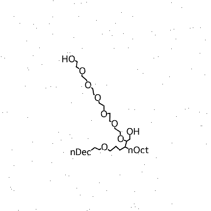 CCCCCCCCCCCCOCCCC(CCCCCCCC)C(CO)OCCOCCOCCOCCOCCOCCO